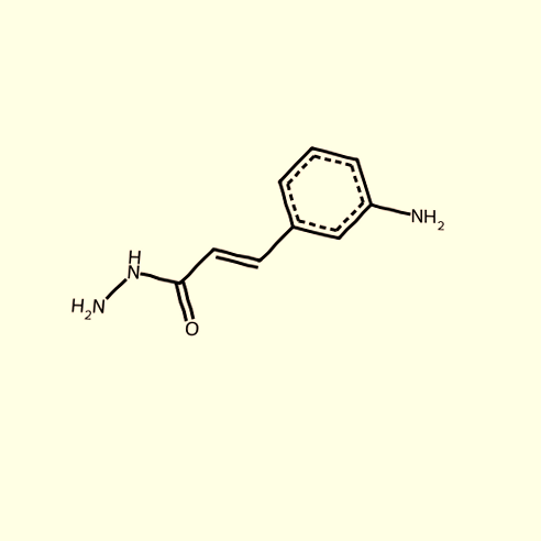 NNC(=O)/C=C/c1cccc(N)c1